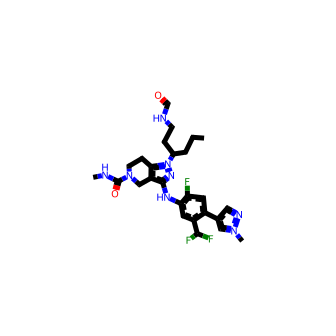 CCCC(CCNC=O)n1nc(Nc2cc(C(F)F)c(-c3cnn(C)c3)cc2F)c2c1CCN(C(=O)NC)C2